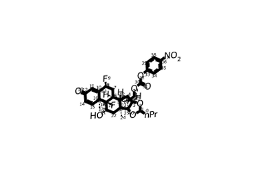 CCCC1O[C@@H]2C[C@H]3[C@@H]4C[C@H](F)C5=CC(=O)C=C[C@]5(C)[C@@]4(F)[C@@H](O)C[C@]3(C)[C@]2(C(=O)COC(=O)Oc2ccc([N+](=O)[O-])cc2)O1